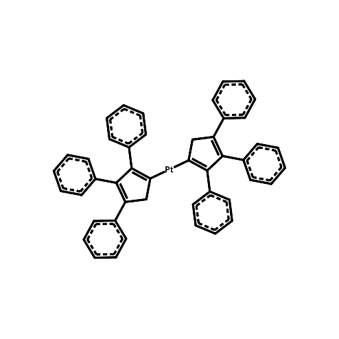 c1ccc(C2=C(c3ccccc3)C(c3ccccc3)=[C]([Pt][C]3=C(c4ccccc4)C(c4ccccc4)=C(c4ccccc4)C3)C2)cc1